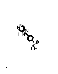 C#C[S+]([O-])c1ccc(-c2nc3cnncc3[nH]2)cc1